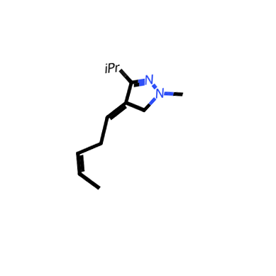 C/C=C\C/C=C1\CN(C)N=C1C(C)C